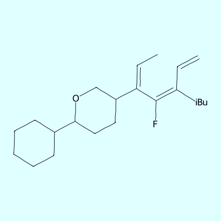 C=C/C(=C(F)\C(=C/C)C1CCC(C2CCCCC2)OC1)C(C)CC